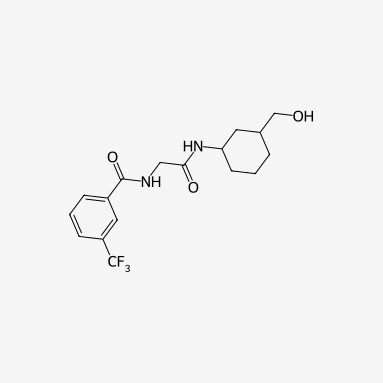 O=C(CNC(=O)c1cccc(C(F)(F)F)c1)NC1CCCC(CO)C1